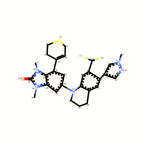 Cn1cc(-c2cc3c(cc2C(F)F)N(c2cc(C4=CCSCC4)c4c(c2)n(C)c(=O)n4C)CCC3)cn1